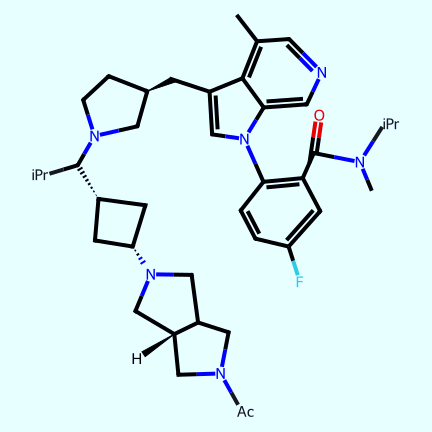 CC(=O)N1CC2CN([C@H]3C[C@@H](C(C(C)C)N4CC[C@@H](Cc5cn(-c6ccc(F)cc6C(=O)N(C)C(C)C)c6cncc(C)c56)C4)C3)C[C@H]2C1